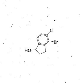 OC1CCc2c1ccc(Cl)c2Br